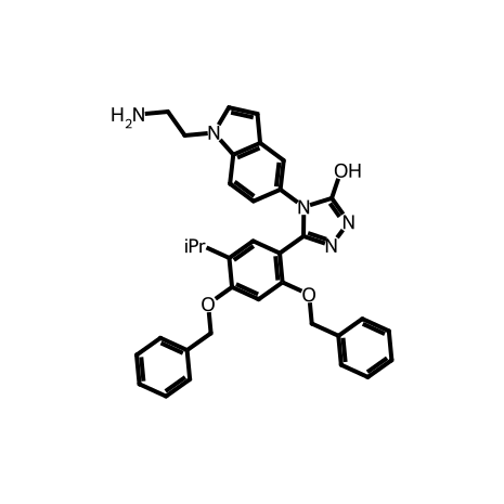 CC(C)c1cc(-c2nnc(O)n2-c2ccc3c(ccn3CCN)c2)c(OCc2ccccc2)cc1OCc1ccccc1